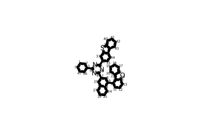 c1ccc(-c2nc(-c3cc(-c4cccc5oc6ccccc6c45)c4ccccc4c3)nc(-c3ccc4c(c3)sc3ccccc34)n2)cc1